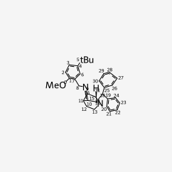 COc1ccc(C(C)(C)C)cc1CN=C1C2CCN(CC2)[C@H]1C(c1ccccc1)c1ccccc1